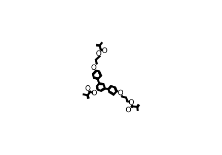 C=C(C)C(=O)OCCCOc1ccc(-c2cc(OC(=O)C(=C)C)cc(-c3ccc(OCCCOC(=O)C(=C)C)cc3)c2)cc1